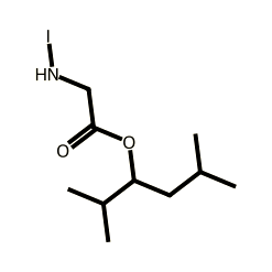 CC(C)CC(OC(=O)CNI)C(C)C